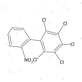 O=[N+]([O-])c1[c]cccc1-c1c(Cl)c(Cl)c(Cl)c(Cl)c1Cl